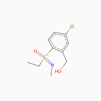 CCS(=O)(=NC)c1ccc(Cl)cc1CO